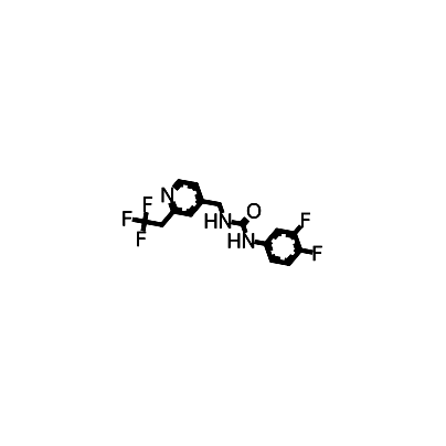 O=C(NCc1ccnc(CC(F)(F)F)c1)Nc1ccc(F)c(F)c1